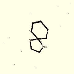 C1CCC2(CC1)NCCS2